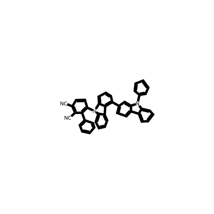 N#Cc1ccc(-n2c3ccccc3c3c(-c4ccc5c6ccccc6n(-c6ccccc6)c5c4)cccc32)c(-c2ccccc2)c1C#N